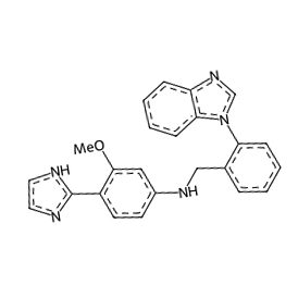 COc1cc(NCc2ccccc2-n2cnc3ccccc32)ccc1-c1ncc[nH]1